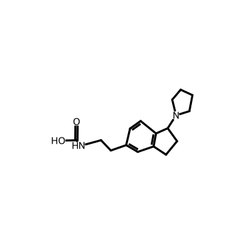 O=C(O)NCCc1ccc2c(c1)CCC2N1CCCC1